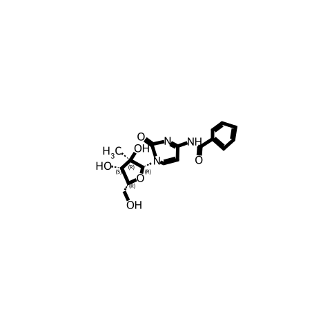 C[C@@]1(O)[C@@H](O)[C@@H](CO)O[C@H]1n1ccc(NC(=O)c2ccccc2)nc1=O